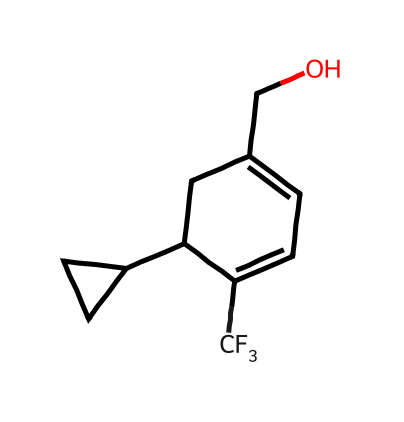 OCC1=CC=C(C(F)(F)F)C(C2CC2)C1